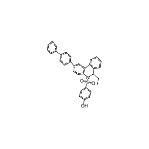 CCC1c2ccccc2-c2cc(-c3ccc(-c4ccccc4)cc3)ccc2N1S(=O)(=O)c1ccc(O)cc1